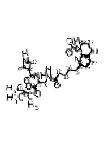 CC(C)(C)OC(=O)C(CNC(=O)CCCCc1ccc2c(n1)N(C(=O)O)CCC2)NC(=O)C1CNC1